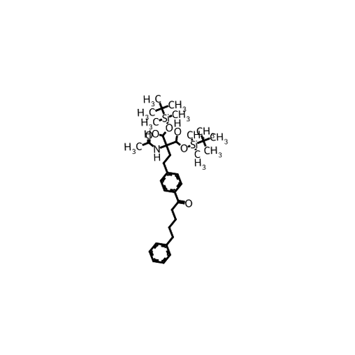 CC(=O)NC(CCc1ccc(C(=O)CCCCc2ccccc2)cc1)(C(O)O[Si](C)(C)C(C)(C)C)C(O)O[Si](C)(C)C(C)(C)C